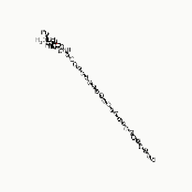 CC(C)CCC[C@@H](C)[C@H]1CC[C@H]2[C@@H]3CC=C4C[C@@H](OC(=O)NCCOCCOCCOCCOCCOCCOCCOCCOCCOCCOCCOCCOCCOCCOCCOCCOCCOCCOCCOCCOCCOCCOCCOCCCl)CC[C@]4(C)[C@H]3CC[C@]12C